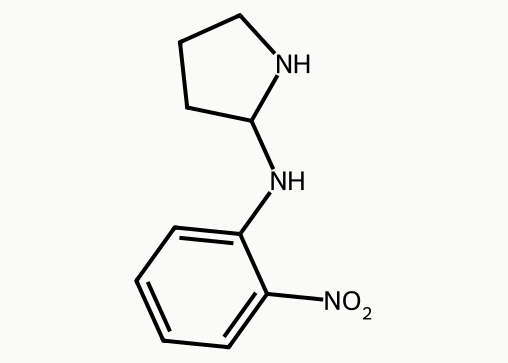 O=[N+]([O-])c1ccccc1NC1CCCN1